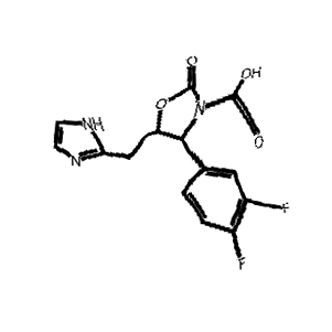 O=C(O)N1C(=O)OC(Cc2ncc[nH]2)C1c1ccc(F)c(F)c1